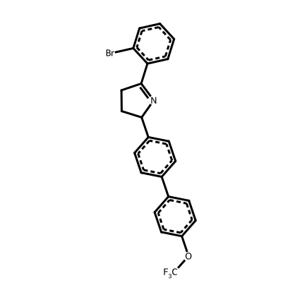 FC(F)(F)Oc1ccc(-c2ccc(C3CCC(c4ccccc4Br)=N3)cc2)cc1